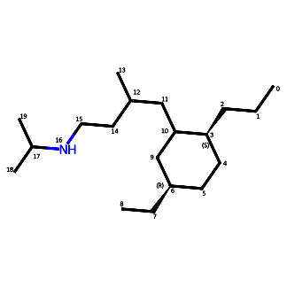 CCC[C@H]1CC[C@@H](CC)CC1CC(C)CCNC(C)C